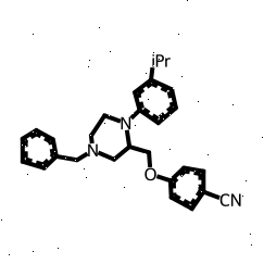 CC(C)c1cccc(N2CCN(Cc3ccccc3)CC2COc2ccc(C#N)cc2)c1